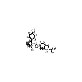 CC(=O)N1Cc2ccc(OCc3c(C)nnn3-c3ccc(Cl)cc3)nc2C1